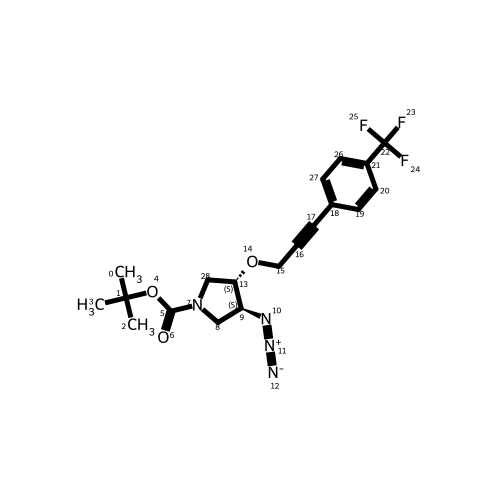 CC(C)(C)OC(=O)N1C[C@H](N=[N+]=[N-])[C@@H](OCC#Cc2ccc(C(F)(F)F)cc2)C1